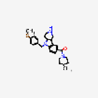 CSc1ccc(CN2c3ccc(C(=O)N4CCC(C)CC4)cc3C3CNCCC32)cc1